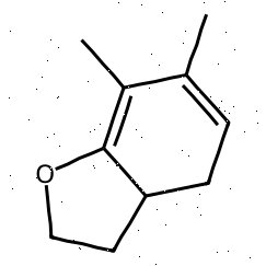 CC1=CCC2CCOC2=C1C